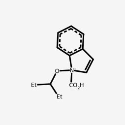 CCC(CC)O[N+]1(C(=O)O)C=Cc2ccccc21